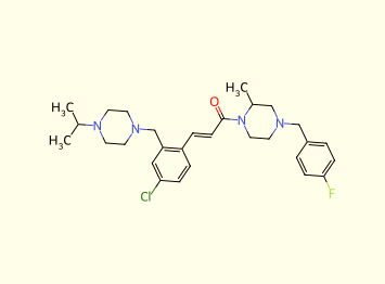 CC(C)N1CCN(Cc2cc(Cl)ccc2C=CC(=O)N2CCN(Cc3ccc(F)cc3)CC2C)CC1